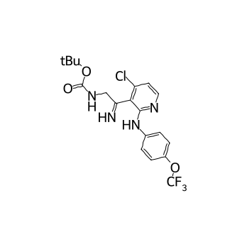 CC(C)(C)OC(=O)NCC(=N)c1c(Cl)ccnc1Nc1ccc(OC(F)(F)F)cc1